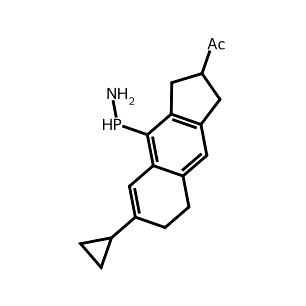 CC(=O)C1Cc2cc3c(c(PN)c2C1)C=C(C1CC1)CC3